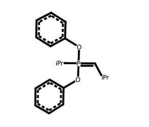 CC(C)C=P(Oc1ccccc1)(Oc1ccccc1)C(C)C